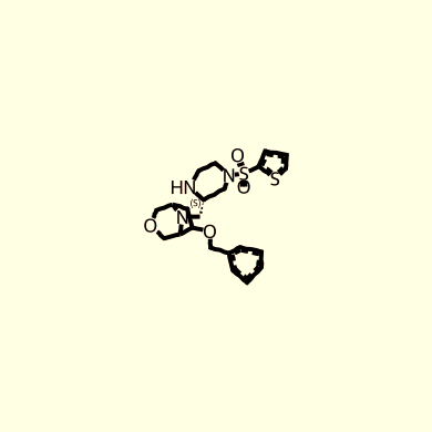 O=S(=O)(c1cccs1)N1CCN[C@@H](CN2C3COCC2C(OCc2ccccc2)C3)C1